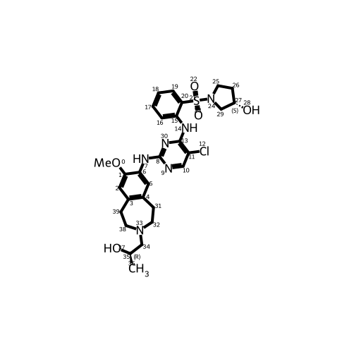 COc1cc2c(cc1Nc1ncc(Cl)c(Nc3ccccc3S(=O)(=O)N3CC[C@H](O)C3)n1)CCN(C[C@@H](C)O)CC2